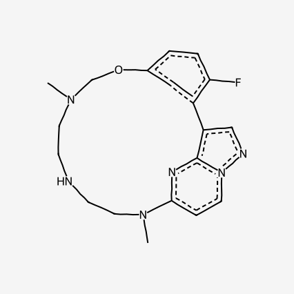 CN1CCNCCN(C)c2ccn3ncc(c3n2)-c2cc(ccc2F)OC1